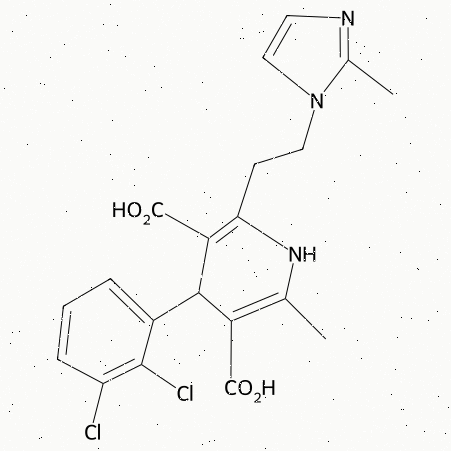 CC1=C(C(=O)O)C(c2cccc(Cl)c2Cl)C(C(=O)O)=C(CCn2ccnc2C)N1